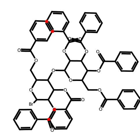 O=C(OCC1OC(Br)C(OC(=O)c2ccccc2)C(OC(=O)c2ccccc2)C1OC1OC(COC(=O)c2ccccc2)C(OC(=O)c2ccccc2)C(OC(=O)c2ccccc2)C1OC(=O)c1ccccc1)c1ccccc1